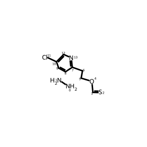 NN.S=COCCc1ccc(Cl)cn1